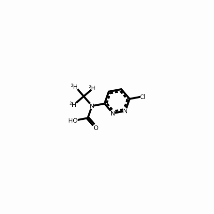 [2H]C([2H])([2H])N(C(=O)O)c1ccc(Cl)nn1